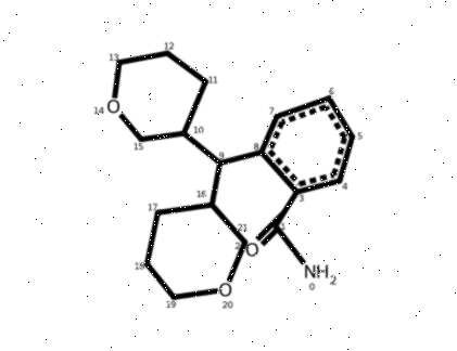 NC(=O)c1ccccc1C(C1CCCOC1)C1CCCOC1